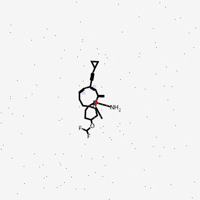 C=C1/C=C(C#CC2CC2)\C=C/CCC2(CCC(OC(F)F)CC2)C12N=C(N)N(C)O2